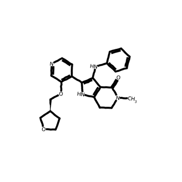 CN1CCc2[nH]c(-c3ccncc3OC[C@H]3CCOC3)c(Nc3ccccc3)c2C1=O